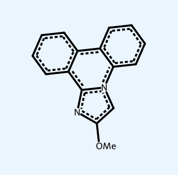 COc1cn2c3ccccc3c3ccccc3c2n1